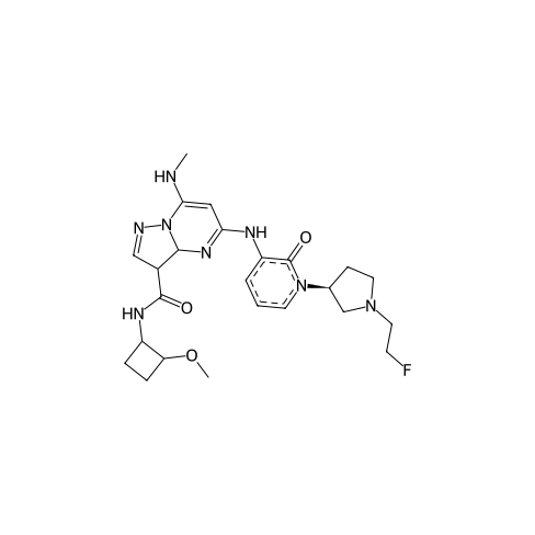 CNC1=CC(Nc2cccn([C@H]3CCN(CCF)C3)c2=O)=NC2C(C(=O)NC3CCC3OC)C=NN12